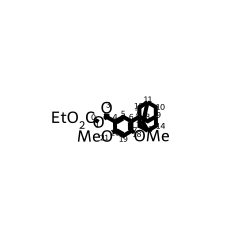 CCOC(=O)OC(=O)c1cc(C23CC4CC(CC(C4)C2)C3)c(OC)cc1OC